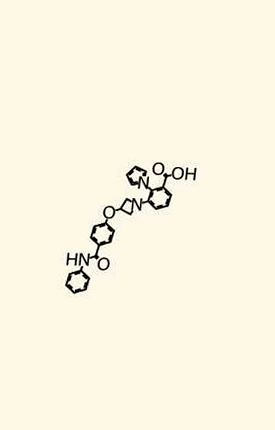 O=C(Nc1ccccc1)c1ccc(OC2CN(c3cccc(C(=O)O)c3-n3cccc3)C2)cc1